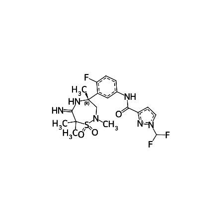 CN1C[C@@](C)(c2cc(NC(=O)c3ccn(C(F)F)n3)ccc2F)NC(=N)C(C)(C)S1(=O)=O